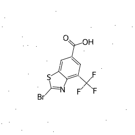 O=C(O)c1cc(C(F)(F)F)c2nc(Br)sc2c1